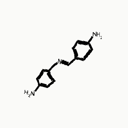 Nc1ccc(/C=N/c2ccc(N)cc2)cc1